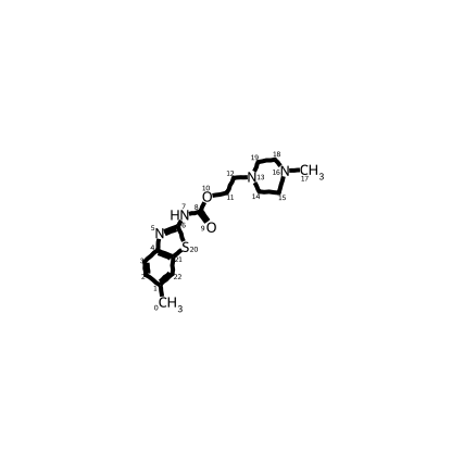 Cc1ccc2nc(NC(=O)OCCN3CCN(C)CC3)sc2c1